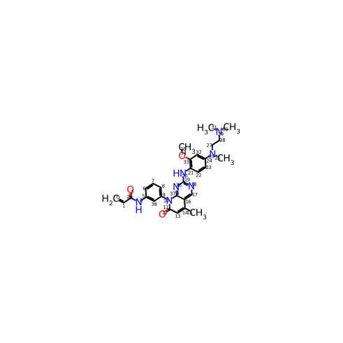 C=CC(=O)Nc1cccc(-n2c(=O)cc(C)c3cnc(Nc4ccc(N(C)CCN(C)C)cc4OC)nc32)c1